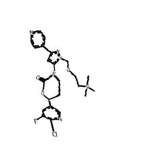 C[Si](C)(C)CCOCn1nc(-c2ccncc2)cc1N1CCC(c2cnc(Cl)c(F)c2)OC1=O